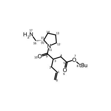 C=CCC(CC(=O)OC(C)(C)C)C(=O)N1CCC[C@H]1CN